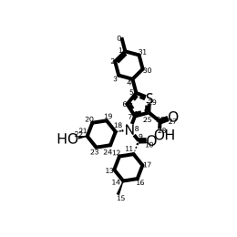 CC1=CCC(c2cc(N(C(=O)[C@H]3CC[C@H](C)CC3)[C@H]3CC[C@H](O)CC3)c(C(=O)O)s2)CC1